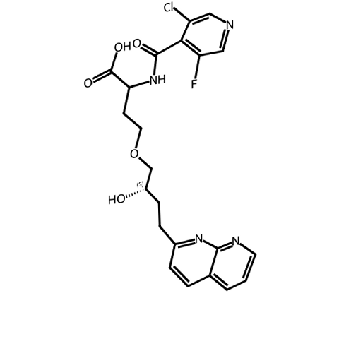 O=C(NC(CCOC[C@@H](O)CCc1ccc2cccnc2n1)C(=O)O)c1c(F)cncc1Cl